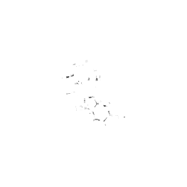 C[C@@H]1c2[nH]c3ccc(F)cc3c2C[C@@H]2CCCC(=O)N21